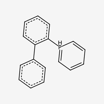 C1=CC=[PH](c2ccccc2-c2ccccc2)C=C1